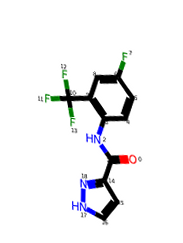 O=C(Nc1ccc(F)cc1C(F)(F)F)c1cc[nH]n1